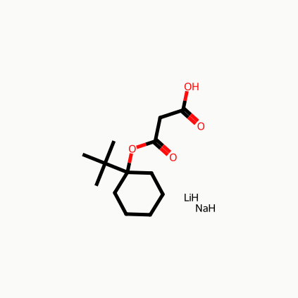 CC(C)(C)C1(OC(=O)CC(=O)O)CCCCC1.[LiH].[NaH]